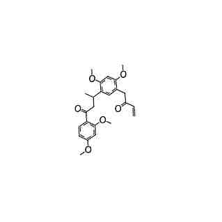 C=CC(=O)Cc1cc(C(C)CC(=O)c2ccc(OC)cc2OC)c(OC)cc1OC